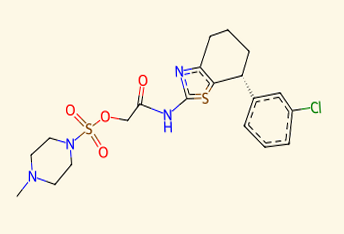 CN1CCN(S(=O)(=O)OCC(=O)Nc2nc3c(s2)[C@@H](c2cccc(Cl)c2)CCC3)CC1